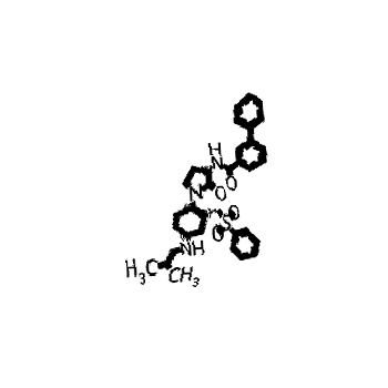 CC(C)CN[C@@H]1CC[C@H](N2CC[C@H](NC(=O)c3cccc(-c4ccccc4)c3)C2=O)[C@H](CS(=O)(=O)c2ccccc2)C1